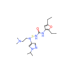 CCc1cc(NC(=O)NSN(CCN(C)C)c2cnn(C(C)C)c2)c(CC)o1